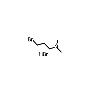 Br.CN(C)CCCBr